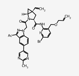 C=CCOCc1ccc(Br)nc1NC(=O)[C@@H]1C[C@@]2(C=C)C[C@H]2N1C(=O)Cn1nc(C(C)=O)c2cc(-c3cnc(C)nc3)ccc21